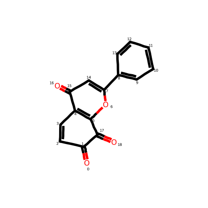 O=C1C=Cc2c(oc(-c3ccccc3)cc2=O)C1=O